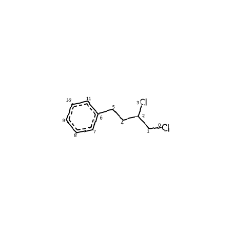 ClCC(Cl)CCc1ccccc1